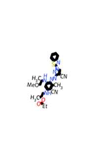 CCC(=O)OC(C)CNc1cc(NC(C)COC)c(N=Nc2nn(-c3nc4ccccc4s3)cc2C#N)c(C)c1C#N